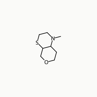 CN1CCSC2COCCC21